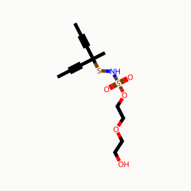 CC#CC(C)(C#CC)SNS(=O)(=O)OCCOCCO